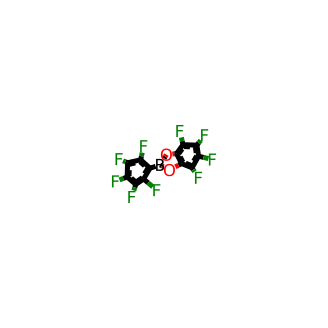 Fc1c(F)c(F)c(B2Oc3c(F)c(F)c(F)c(F)c3O2)c(F)c1F